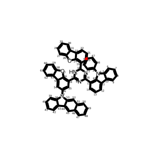 c1ccc(-n2c3ccccc3c3cccc(C4=NC(c5cccc6c5oc5ccccc56)NC(c5cc(-n6c7ccccc7c7cc8ccccc8cc76)cc6c5oc5ccccc56)=N4)c32)cc1